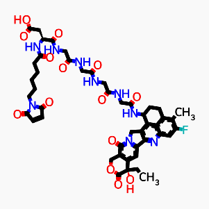 CC[C@@]1(O)C(=O)OCc2c1cc1n(c2=O)Cc2c-1nc1cc(F)c(C)c3c1c2C(NC(=O)CNC(=O)CNC(=O)CNC(=O)CNC(=O)[C@H](CC(=O)O)NC(=O)CCCCCN1C(=O)C=CC1=O)CC3